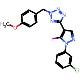 COc1ccc(Cn2nnc(-c3cnn(-c4cccc(Cl)c4)c3I)n2)cc1